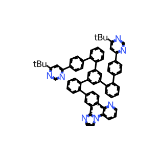 CC(C)(C)c1cc(-c2ccc(-c3ccccc3-c3cc(-c4ccccc4-c4ccc(-c5cc(C(C)(C)C)ncn5)cc4)cc(-c4ccccc4-c4ccc5c(c4)c4nccn4c4cccnc54)c3)cc2)ncn1